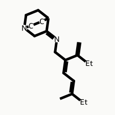 C=C(CC)/C(=C\C=C(/C)CC)C/N=C1\CN2CCC1CC2